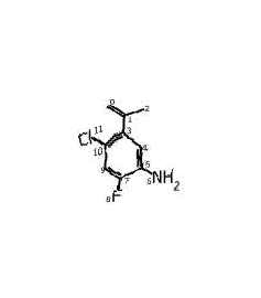 C=C(C)c1cc(N)c(F)cc1Cl